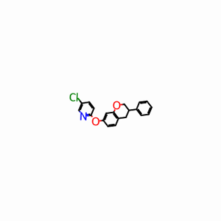 Clc1ccc(Oc2ccc3c(c2)OCC(c2ccccc2)C3)nc1